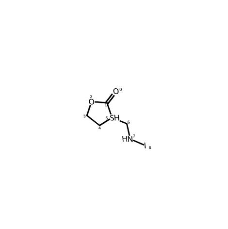 O=C1OCC[SH]1CNI